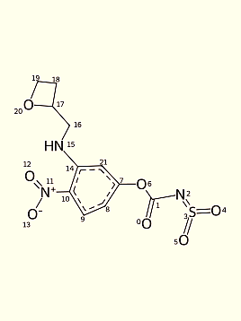 O=C(N=S(=O)=O)Oc1ccc([N+](=O)[O-])c(NCC2CCO2)c1